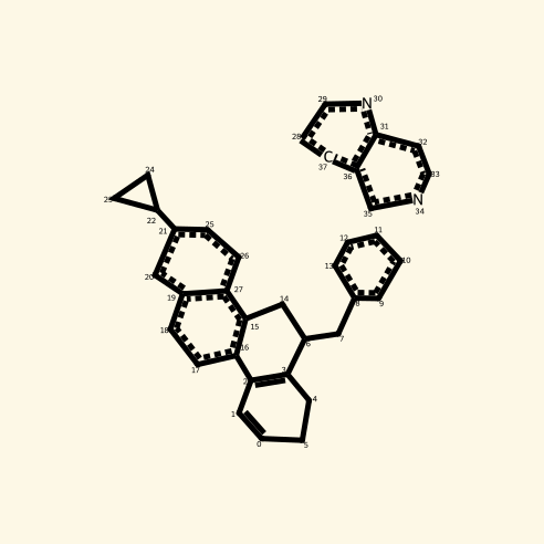 C1=CC2=C(CC1)C(Cc1ccccc1)Cc1c2ccc2cc(C3CC3)ccc12.c1cnc2ccncc2c1